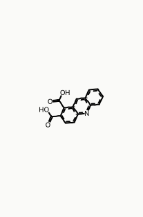 O=C(O)c1ccc2nc3ccccc3cc2c1C(=O)O